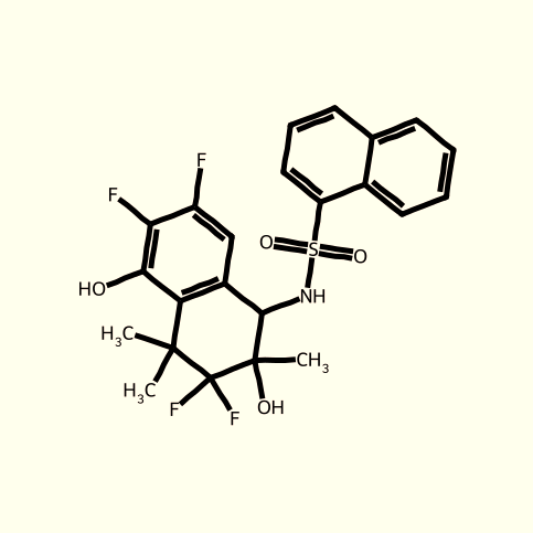 CC1(C)c2c(cc(F)c(F)c2O)C(NS(=O)(=O)c2cccc3ccccc23)C(C)(O)C1(F)F